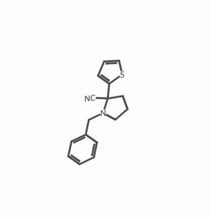 N#CC1(c2cccs2)CCCN1Cc1ccccc1